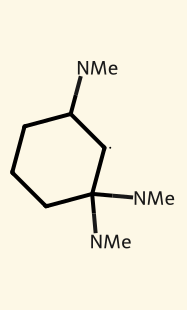 CNC1[CH]C(NC)(NC)CCC1